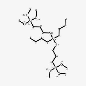 CCCC[Si](CCCC)(SCCC[Si](OC)(OC)OC)SCCC[Si](OC)(OC)OC